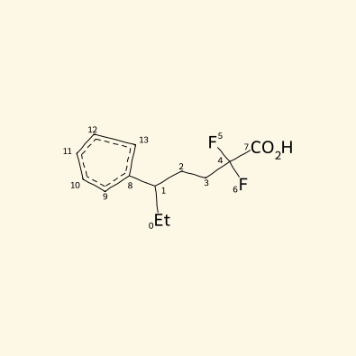 CCC(CCC(F)(F)C(=O)O)c1ccccc1